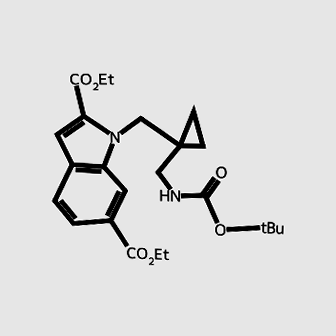 CCOC(=O)c1ccc2cc(C(=O)OCC)n(CC3(CNC(=O)OC(C)(C)C)CC3)c2c1